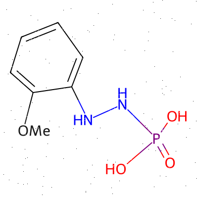 COc1ccccc1NNP(=O)(O)O